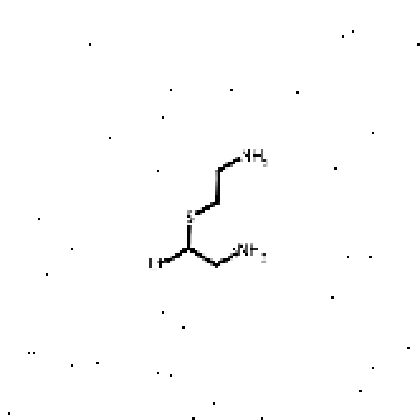 CCC(CN)SCCN